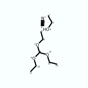 C#N.CCO.CCOC(OCC)OCC